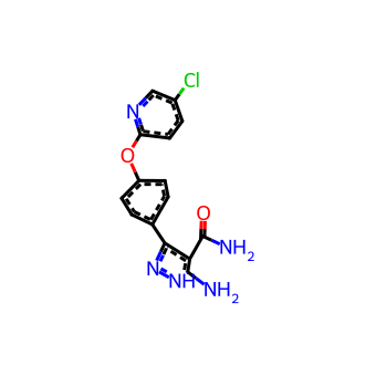 NC(=O)c1c(-c2ccc(Oc3ccc(Cl)cn3)cc2)n[nH]c1N